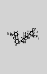 CCOc1ccccc1O[C@@H]1CCCN(c2cncc(NC(=O)Nc3cc(C(F)(F)F)cc(C(F)(F)F)c3)n2)C1